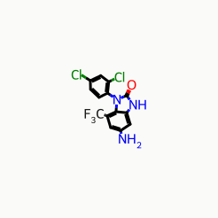 Nc1cc(C(F)(F)F)c2c(c1)[nH]c(=O)n2-c1ccc(Cl)cc1Cl